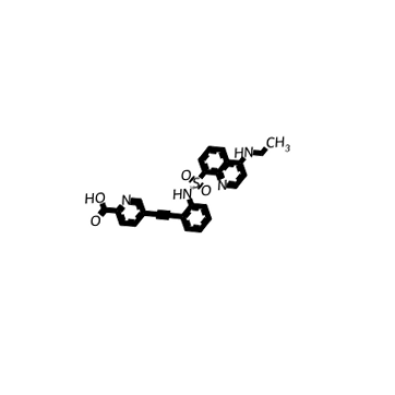 CCNc1ccnc2c(S(=O)(=O)Nc3ccccc3C#Cc3ccc(C(=O)O)nc3)cccc12